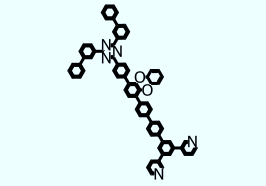 C1=CC2Oc3c(-c4ccc(-c5ccc(-c6cc(-c7cccnc7)cc(-c7cccnc7)c6)cc5)cc4)ccc(-c4ccc(-c5nc(-c6cccc(-c7ccccc7)c6)nc(-c6cccc(-c7ccccc7)c6)n5)cc4)c3OC2C=C1